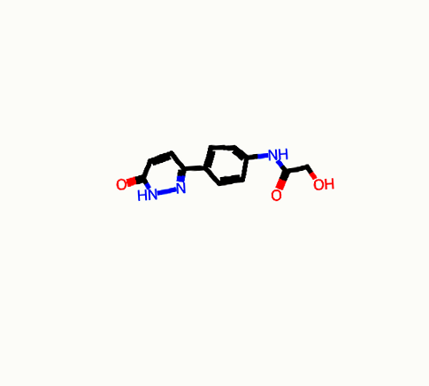 O=C(CO)Nc1ccc(-c2ccc(=O)[nH]n2)cc1